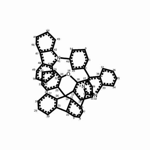 c1cc(-c2nc(-c3cccc4c3C3(c5ccccc5Oc5ccccc53)c3ccccc3-4)nc3ccccc23)cc(-n2c3ccccc3c3ccccc32)c1